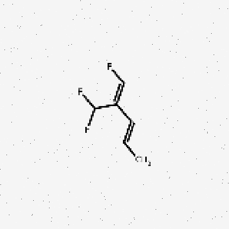 CC=CC(=CF)C(F)F